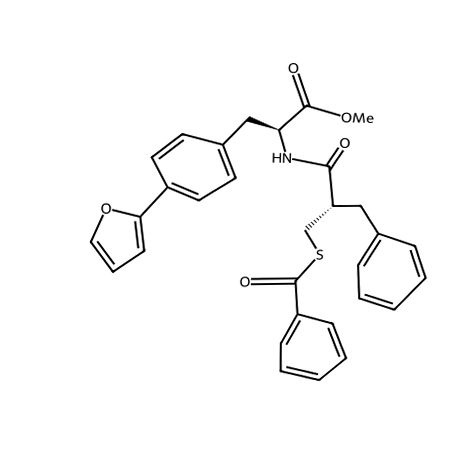 COC(=O)[C@H](Cc1ccc(-c2ccco2)cc1)NC(=O)[C@@H](CSC(=O)c1ccccc1)Cc1ccccc1